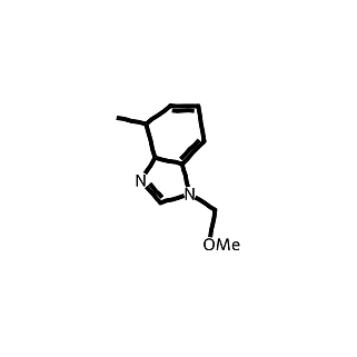 COCN1C=NC2C1=CC=CC2C